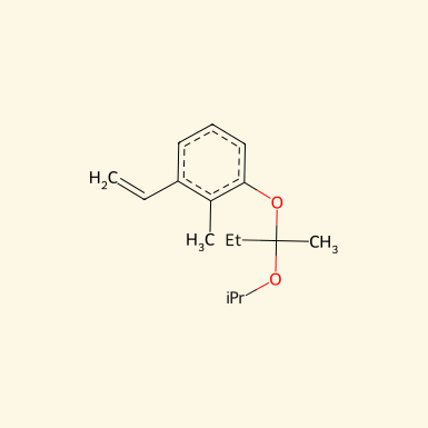 C=Cc1cccc(OC(C)(CC)OC(C)C)c1C